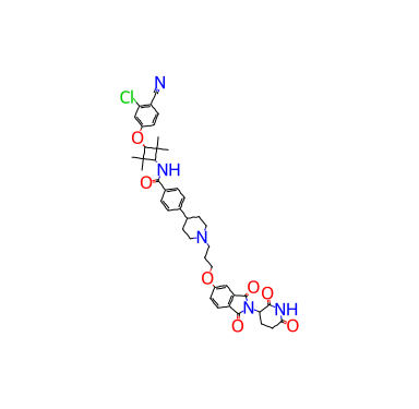 CC1(C)[C@H](NC(=O)c2ccc(C3CCN(CCCOc4ccc5c(c4)C(=O)N(C4CCC(=O)NC4=O)C5=O)CC3)cc2)C(C)(C)[C@H]1Oc1ccc(C#N)c(Cl)c1